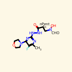 CCCCC[C@H](CN(O)C=O)C(=O)NNc1nc(C)c(F)c(N2CCOCC2)n1